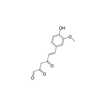 COc1cc(C=CC(=O)CC(=O)C=O)ccc1O